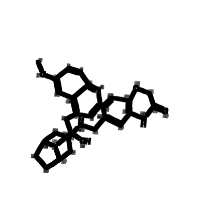 COc1ccc2nccc(CC(O)N3C4CCC3CC(NCc3ccc5c(c3)NC(=O)CO5)C4)c2c1